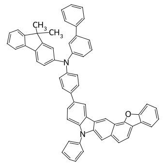 CC1(C)c2ccccc2-c2ccc(N(c3ccc(-c4ccc5c(c4)c4cc6c(ccc7c8ccccc8oc67)cc4n5-c4ccccc4)cc3)c3cccc(-c4ccccc4)c3)cc21